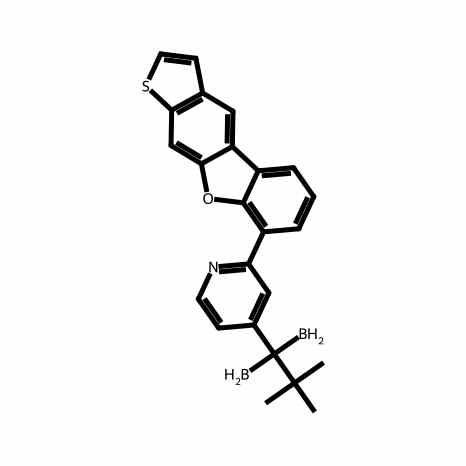 BC(B)(c1ccnc(-c2cccc3c2oc2cc4sccc4cc23)c1)C(C)(C)C